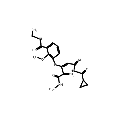 C=C(C(=O)NC)/C(=C\C(=N)NC(=O)C1CC1)Nc1cccc(C(=N)NCC)c1OC